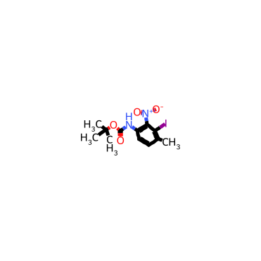 Cc1ccc(NC(=O)OC(C)(C)C)c([N+](=O)[O-])c1I